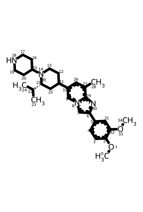 COc1ccc(-c2cn3cc(C4CCN(C5CCNCC5)[C@@H](C(C)C)C4)cc(C)c3n2)cc1OC